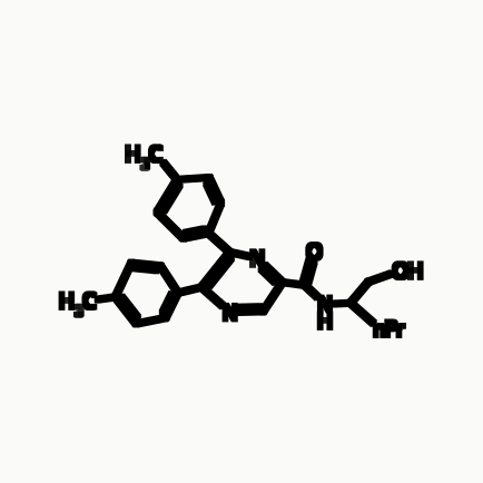 CCCC(CO)NC(=O)c1cnc(-c2ccc(C)cc2)c(-c2ccc(C)cc2)n1